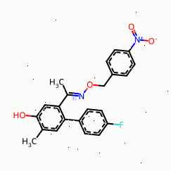 C/C(=N\OCc1ccc([N+](=O)[O-])cc1)c1cc(O)c(C)cc1-c1ccc(F)cc1